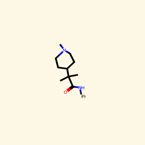 CC(C)NC(=O)C(C)(C)C1CCN(C)CC1